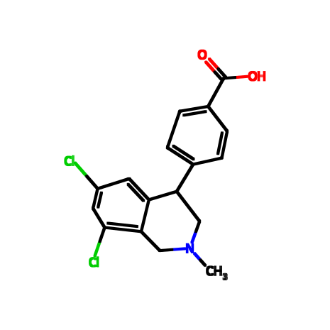 CN1Cc2c(Cl)cc(Cl)cc2C(c2ccc(C(=O)O)cc2)C1